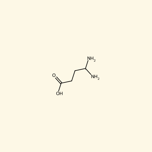 N[C](N)CCC(=O)O